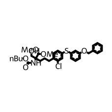 CCCCOC(=O)NC(CO)(CCCc1ccc(Sc2cccc(OCc3ccccc3)c2)cc1Cl)C(OC)OC